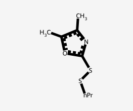 CCCSSc1nc(C)c(C)o1